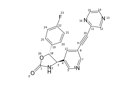 O=C1N[C@H](c2cncc(C#Cc3cnccn3)c2)[C@@H](c2ccc(F)cc2)O1